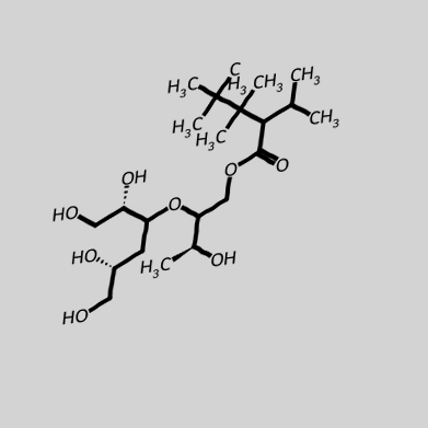 CC(C)C(C(=O)OCC(OC(C[C@@H](O)CO)[C@@H](O)CO)[C@H](C)O)C(C)(C)C(C)(C)C